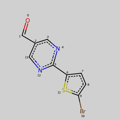 O=Cc1cnc(-c2ccc(Br)s2)nc1